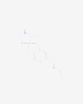 CN(C)CC(=O)Nc1ccc2c(c1)CC1(C2)C(=O)NC(=O)N1C